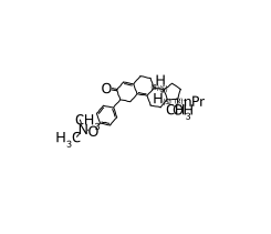 CCC[C@@]1(O)CC[C@H]2[C@@H]3CCC4=CC(=O)C(c5ccc(ON(C)C)cc5)CC4=C3CC[C@@]21C